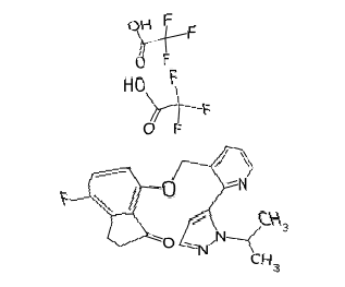 CC(C)n1nccc1-c1ncccc1COc1ccc(F)c2c1C(=O)CC2.O=C(O)C(F)(F)F.O=C(O)C(F)(F)F